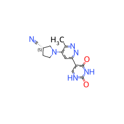 Cc1nnc(-c2c[nH]c(=O)[nH]c2=O)cc1N1CC[C@H](C#N)C1